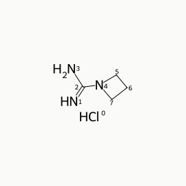 Cl.N=C(N)N1CCC1